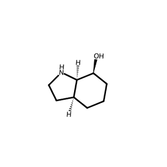 O[C@H]1CCC[C@H]2CCN[C@H]21